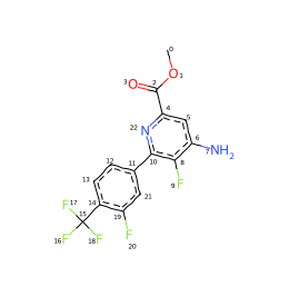 COC(=O)c1cc(N)c(F)c(-c2ccc(C(F)(F)F)c(F)c2)n1